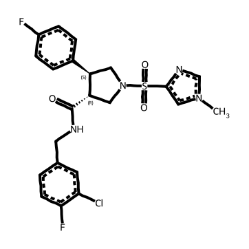 Cn1cnc(S(=O)(=O)N2C[C@H](C(=O)NCc3ccc(F)c(Cl)c3)[C@@H](c3ccc(F)cc3)C2)c1